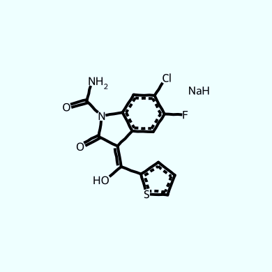 NC(=O)N1C(=O)/C(=C(\O)c2cccs2)c2cc(F)c(Cl)cc21.[NaH]